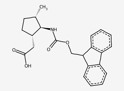 C[C@H]1CC[C@@H](CC(=O)O)[C@@H]1NC(=O)OCC1c2ccccc2-c2ccccc21